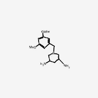 COc1cc(CN2CC(N)CC(N)C2)cc(OC)c1